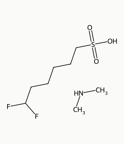 CNC.O=S(=O)(O)CCCCCC(F)F